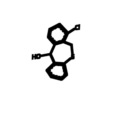 OC1c2ccccc2SCc2c(Cl)cccc21